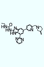 C=C1CCN(Cc2ccc(-c3cc(-c4ncccn4)c4[nH]c(NC(=O)NCC)nc4c3)cn2)C1